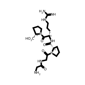 N=C(N)NCCC[C@H](NC(=O)[C@@H]1CCCN1C(=O)CNC(=O)CN)C(=O)N1CCC[C@H]1C(=O)O